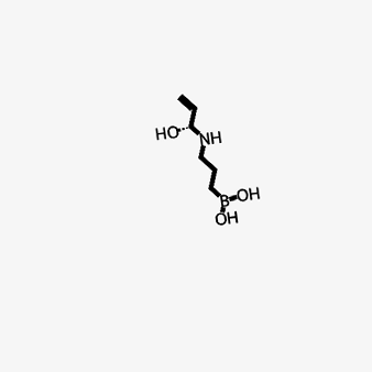 C=C[C@@H](O)NCCCB(O)O